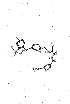 Nc1ncc(C(=O)NC2(C(=O)NCc3ccc(Nc4ccc(F)cc4C(F)(F)F)cn3)CC2)o1